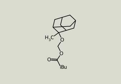 CCC(C)C(=O)OCOC1(C)C2CC3CC(C2)CC1C3